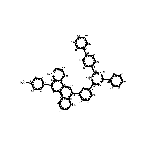 N#Cc1ccc(-c2cc3c4cccnc4c(-c4cccc(-c5nc(-c6ccccc6)nc(-c6ccc(-c7ccccc7)cc6)n5)c4)cc3c3cccnc23)cc1